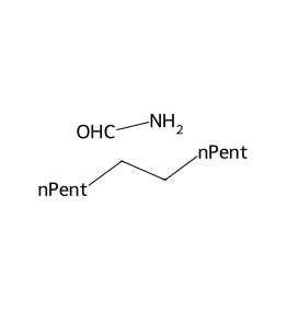 NC=O.[CH2]CCCCCCCCCCC